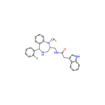 CN1c2ccccc2C(c2ccccc2F)NCC1CNC(=O)Cc1c[nH]c2ccccc12